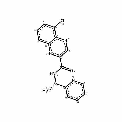 C[C@H](NC(=O)c1cnc2c(Cl)cccc2n1)c1ccccn1